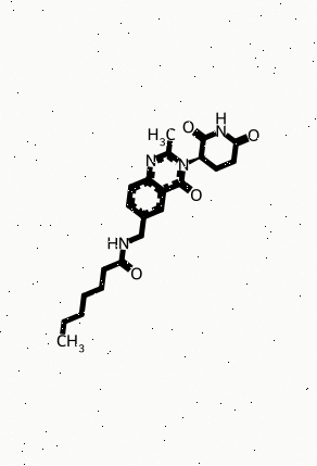 CCCCCCC(=O)NCc1ccc2nc(C)n([C@@H]3CCC(=O)NC3=O)c(=O)c2c1